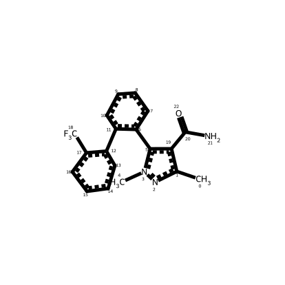 Cc1nn(C)c(-c2ccccc2-c2ccccc2C(F)(F)F)c1C(N)=O